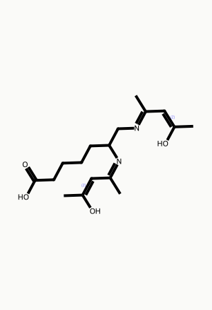 CC(/C=C(/C)O)=NCC(CCCCC(=O)O)N=C(C)/C=C(/C)O